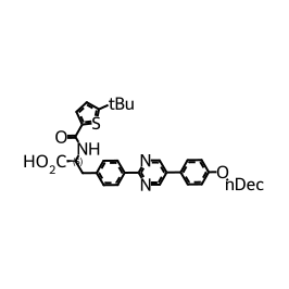 CCCCCCCCCCOc1ccc(-c2cnc(-c3ccc(C[C@H](NC(=O)c4ccc(C(C)(C)C)s4)C(=O)O)cc3)nc2)cc1